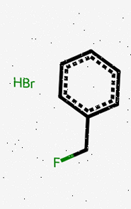 Br.FCc1ccccc1